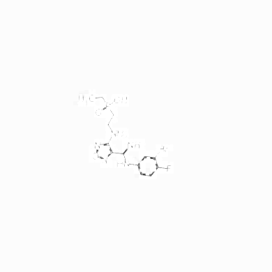 CCP(=O)(O)CCNc1nonc1C(=N)Nc1ccc(F)c(Br)c1